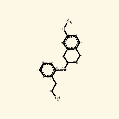 COc1ccc2c(c1)CC(Nc1ccccc1CCO)CC2